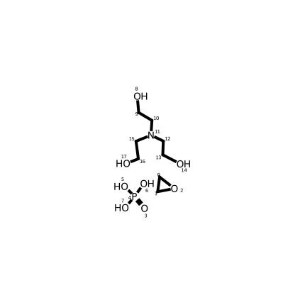 C1CO1.O=P(O)(O)O.OCCN(CCO)CCO